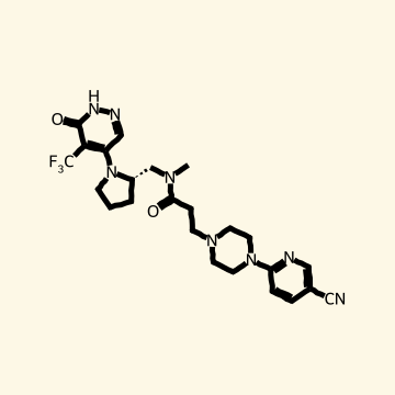 CN(C[C@@H]1CCCN1c1cn[nH]c(=O)c1C(F)(F)F)C(=O)CCN1CCN(c2ccc(C#N)cn2)CC1